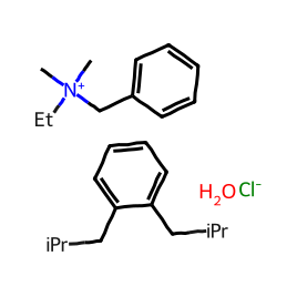 CC(C)Cc1ccccc1CC(C)C.CC[N+](C)(C)Cc1ccccc1.O.[Cl-]